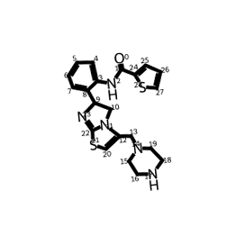 O=C(Nc1ccccc1C1CN2C(CN3CCNCC3)=CSC2=N1)c1cccs1